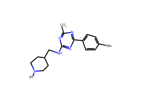 CC(C)N1CCC(CNc2nc(-c3ccc(C(C)(C)C)cc3)nc(C(Cl)(Cl)Cl)n2)CC1